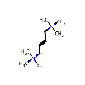 CC[N+](C)(C)C/C=C/C[N+](C)(C)C